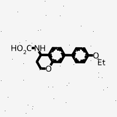 CCOc1ccc(-c2ccc3c(c2)OCCC3NC(=O)O)cc1